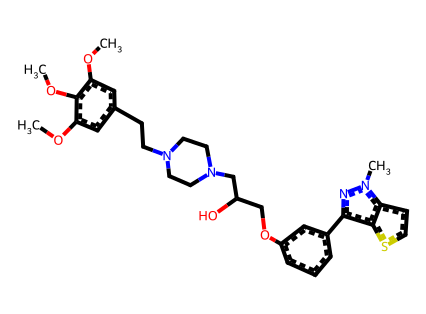 COc1cc(CCN2CCN(CC(O)COc3cccc(-c4nn(C)c5ccsc45)c3)CC2)cc(OC)c1OC